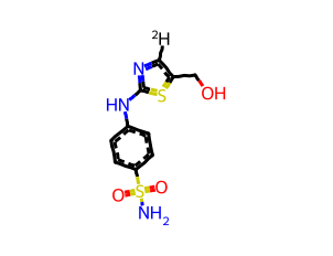 [2H]c1nc(Nc2ccc(S(N)(=O)=O)cc2)sc1CO